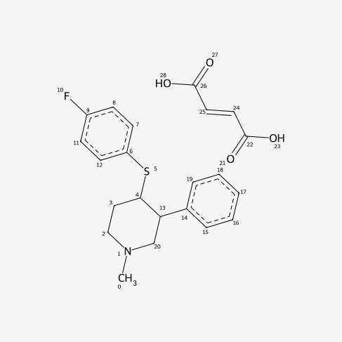 CN1CCC(Sc2ccc(F)cc2)C(c2ccccc2)C1.O=C(O)C=CC(=O)O